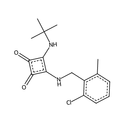 Cc1cccc(Cl)c1CNc1c(NC(C)(C)C)c(=O)c1=O